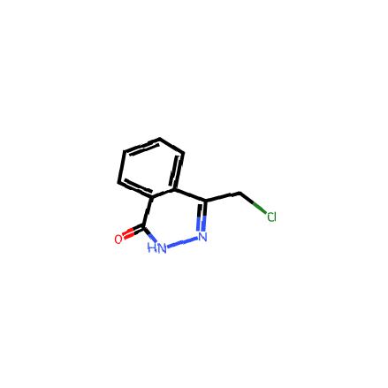 O=c1[nH]nc(CCl)c2ccccc12